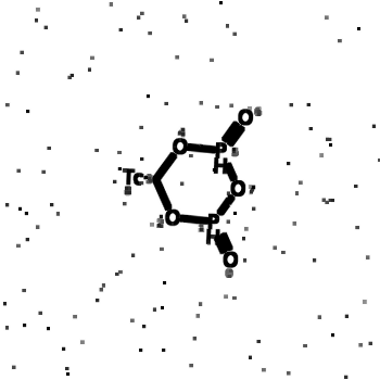 O=[PH]1OCO[PH](=O)O1.[Tc]